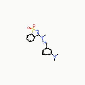 CN(/N=C/c1cccc(N(C)C)c1)C1=NS(=O)(=O)c2ccccc21